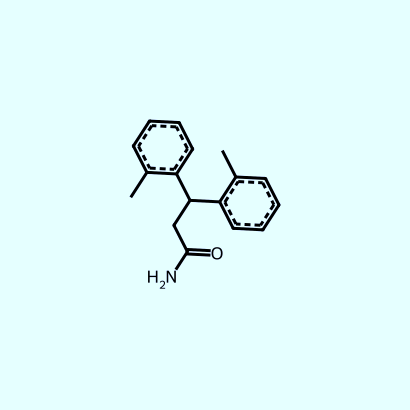 Cc1ccccc1C(CC(N)=O)c1ccccc1C